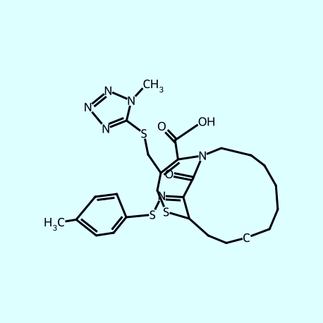 Cc1ccc(SN=C2C(=O)N3CCCCCCCCCC2SCC(CSc2nnnn2C)=C3C(=O)O)cc1